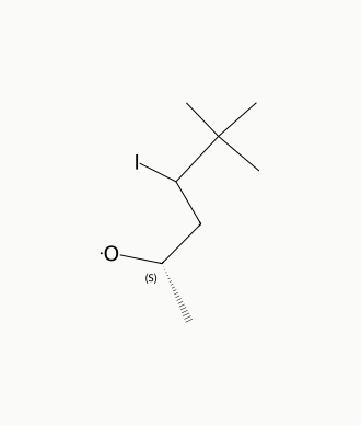 C[C@H]([O])CC(I)C(C)(C)C